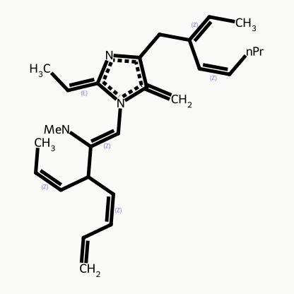 C=C/C=C\C(/C=C\C)/C(=C/n1c(=C)c(CC(/C=C\CCC)=C/C)n/c1=C\C)NC